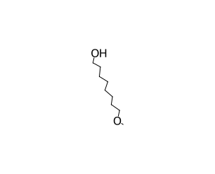 COCCCCCCCCO